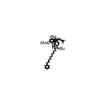 CCCCN(C(=O)CCCCCCCCCCc1ccccc1)[C@H]1CC[C@H]2[C@H]3Cc4c(O)cc(OC)c5c4[C@@]2(CCN3CC2CC2)[C@H]1O5